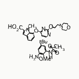 COc1c(N)cc(C(C)(C)C)cc1NS(C)(=O)=O.Cn1c(C(=O)O)cc2cccc(Oc3ccnc(OCCN4CCOCC4)n3)c21